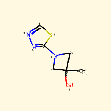 CC1(O)CN(c2nncs2)C1